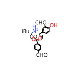 CC[C@H](C)[C@H](N)C(=O)O.O=Cc1ccc(C(=O)OCc2ccc(O)c(C=O)c2)cc1